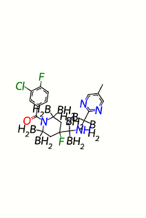 BC(B)(NC(B)(B)C1(F)CC(B)(B)N(C(=O)c2ccc(F)c(Cl)c2)C(B)(B)C1)c1ncc(C)cn1